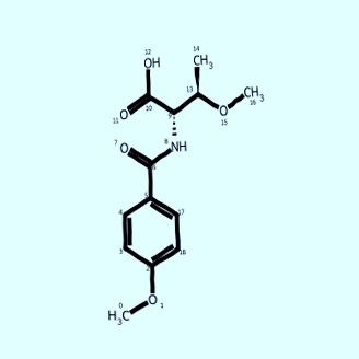 COc1ccc(C(=O)N[C@H](C(=O)O)[C@@H](C)OC)cc1